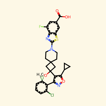 COC1(c2c(-c3c(Cl)cccc3Cl)noc2C2CC2)CC2(CCN(c3nc4c(F)cc(C(=O)O)cc4s3)CC2)C1